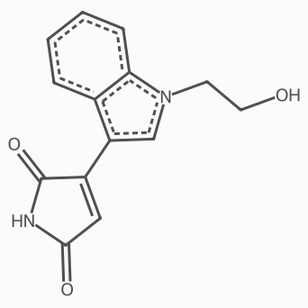 O=C1C=C(c2cn(CCO)c3ccccc23)C(=O)N1